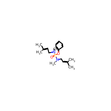 CC(C)=CCN(C)P(=O)(Oc1ccccc1)N(C)CC=C(C)C